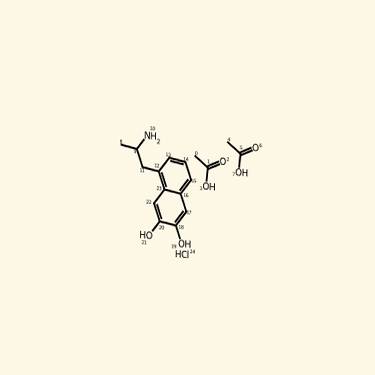 CC(=O)O.CC(=O)O.CC(N)Cc1cccc2cc(O)c(O)cc12.Cl